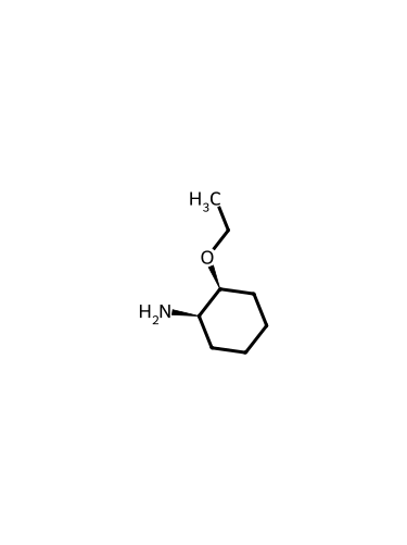 CCO[C@H]1CCCC[C@H]1N